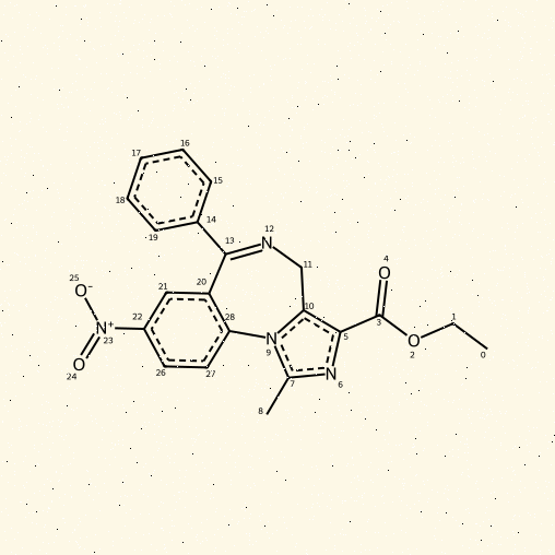 CCOC(=O)c1nc(C)n2c1CN=C(c1ccccc1)c1cc([N+](=O)[O-])ccc1-2